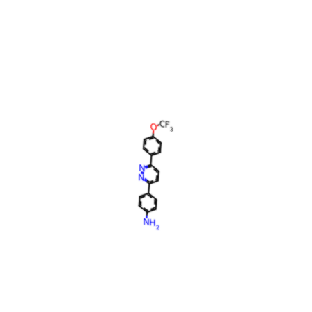 Nc1ccc(-c2ccc(-c3ccc(OC(F)(F)F)cc3)nn2)cc1